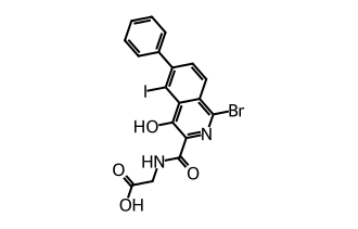 O=C(O)CNC(=O)c1nc(Br)c2ccc(-c3ccccc3)c(I)c2c1O